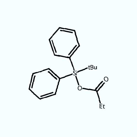 CCC(=O)O[Si](c1ccccc1)(c1ccccc1)C(C)(C)C